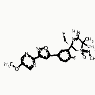 CN=[S@]1(=O)C[C@@](CF)(c2cc(-c3cc(-c4ncc(OC)cn4)no3)ccc2F)N=C(N)C1(C)C